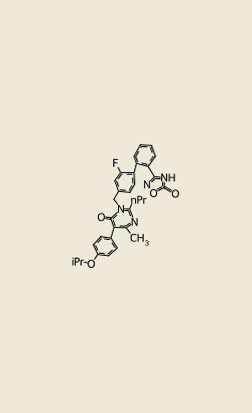 CCCc1nc(C)c(-c2ccc(OC(C)C)cc2)c(=O)n1Cc1ccc(-c2ccccc2-c2noc(=O)[nH]2)c(F)c1